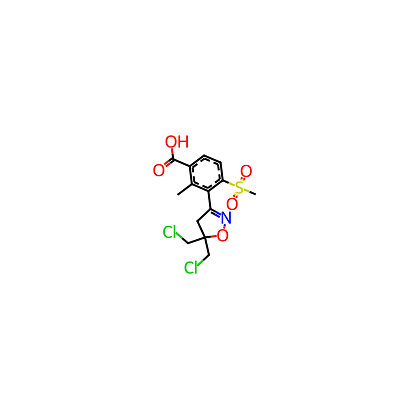 Cc1c(C(=O)O)ccc(S(C)(=O)=O)c1C1=NOC(CCl)(CCl)C1